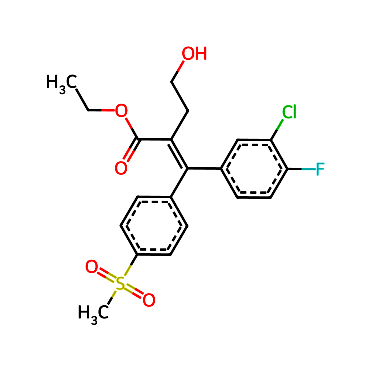 CCOC(=O)/C(CCO)=C(\c1ccc(S(C)(=O)=O)cc1)c1ccc(F)c(Cl)c1